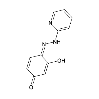 O=C1C=C/C(=N/Nc2ccccn2)C(O)=C1